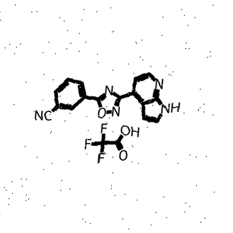 N#Cc1cccc(-c2nc(-c3ccnc4[nH]ccc34)no2)c1.O=C(O)C(F)(F)F